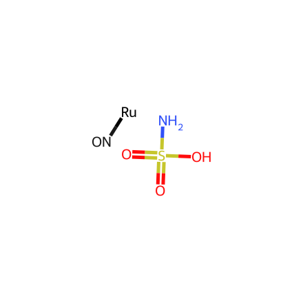 NS(=O)(=O)O.O=[N][Ru]